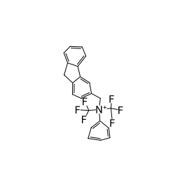 FC(F)(F)[N+](Cc1ccc2c(c1)-c1ccccc1C2)(c1ccccc1)C(F)(F)F